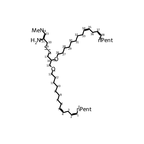 CCCCC/C=C\C/C=C\CCCCCCCCOCC(CSSC/C(N)=C/NC)OCCCCCCCC/C=C\C/C=C\CCCCC